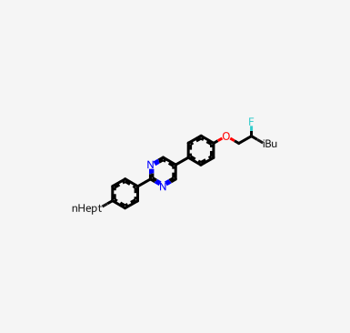 CCCCCCCc1ccc(-c2ncc(-c3ccc(OCC(F)C(C)CC)cc3)cn2)cc1